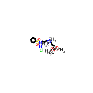 CO[Si](CCC[N+](C)(C)CCCNS(=O)(=O)c1ccccc1)(OC)OC.[Cl-]